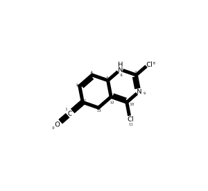 O=C=C1C=CC2NC(Cl)=NC(Cl)=C2C1